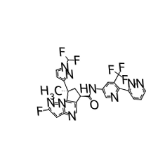 C[C@]1(c2ccn(C(F)F)n2)C[C@@H](C(=O)Nc2cnc(-c3cccnn3)c(C(F)(F)F)c2)c2cnc3cc(F)nn3c21